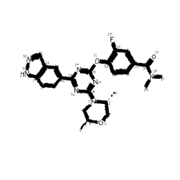 C[C@@H]1CO[C@@H](C)CN1c1nc(Oc2ccc(C(=O)N(C)C)cc2F)nc(-c2ccc3[nH]ncc3c2)n1